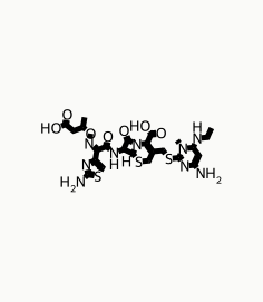 CCNC1C=C(N)N=C(SCC2=C(C(=O)O)N3C(=O)C(NC(=O)/C(=N\OC(C)CC(=O)O)c4csc(N)n4)[C@@H]3SC2)N1C